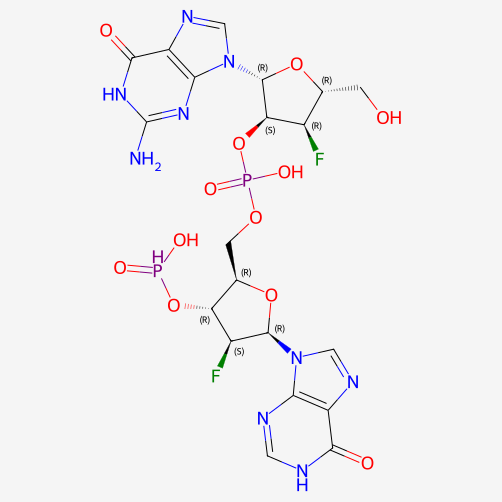 Nc1nc2c(ncn2[C@@H]2O[C@H](CO)[C@@H](F)[C@H]2OP(=O)(O)OC[C@H]2O[C@@H](n3cnc4c(=O)[nH]cnc43)[C@@H](F)[C@@H]2O[PH](=O)O)c(=O)[nH]1